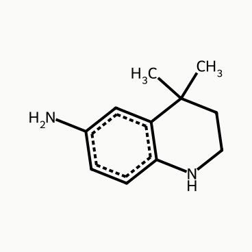 CC1(C)CCNc2ccc(N)cc21